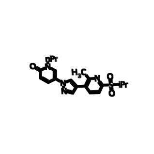 CCCn1cc(-n2cc(-c3ccc(S(=O)(=O)C(C)C)nc3C)cn2)ccc1=O